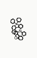 c1ccc(N(c2cccc3c2-c2c(ccc4ccccc24)C3(c2ccccc2)c2ccccc2)c2cccc3oc4ccccc4c23)cc1